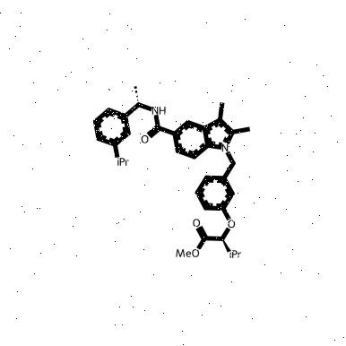 COC(=O)[C@@H](Oc1cccc(Cn2c(C)c(C)c3cc(C(=O)N[C@@H](C)c4cccc(C(C)C)c4)ccc32)c1)C(C)C